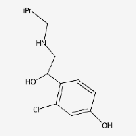 CC(C)CNCC(O)c1ccc(O)cc1Cl